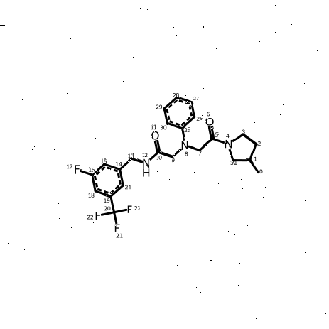 CC1CCN(C(=O)CN(CC(=O)NCc2cc(F)cc(C(F)(F)F)c2)c2ccccc2)C1